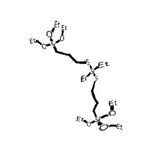 CCO[Si](CCCS[Si](CC)(CC)SCCC[Si](OCC)(OCC)OCC)(OCC)OCC